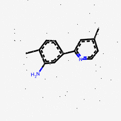 Cc1ccnc(-c2ccc(C)c(N)c2)c1